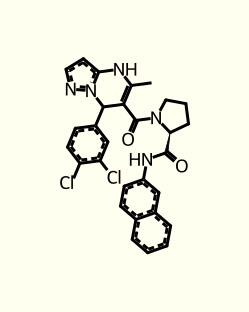 CC1=C(C(=O)N2CCC[C@H]2C(=O)Nc2ccc3ccccc3c2)C(c2ccc(Cl)c(Cl)c2)n2nccc2N1